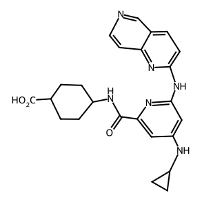 O=C(NC1CCC(C(=O)O)CC1)c1cc(NC2CC2)cc(Nc2ccc3cnccc3n2)n1